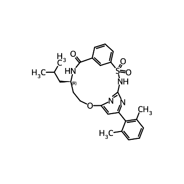 Cc1cccc(C)c1-c1cc2nc(n1)NS(=O)(=O)c1cccc(c1)C(=O)N[C@H](CC(C)C)CCO2